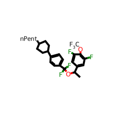 CCCCCC1CCC(c2ccc(C(F)(F)OC(C)c3cc(F)c(OC(F)(F)F)c(F)c3)cc2)CC1